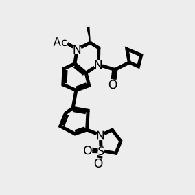 CC(=O)N1c2ccc(-c3cccc(N4CCCS4(=O)=O)c3)cc2N(C(=O)C2CCC2)C[C@@H]1C